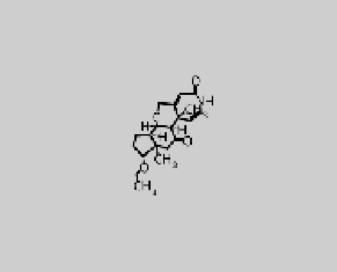 CCO[C@H]1CC[C@H]2[C@@H]3CCC4=CC(=O)NC=C[C@]4(C)[C@H]3C(=O)C[C@]12C